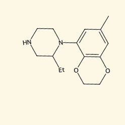 CCC1CNCCN1c1cc(C)cc2c1OCCO2